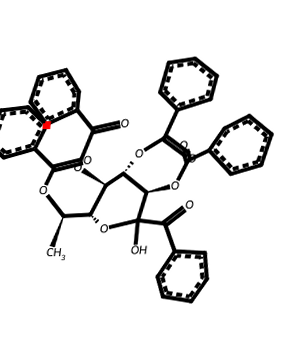 C[C@@H](OC(=O)c1ccccc1)[C@H]1OC(O)(C(=O)c2ccccc2)[C@H](OC(=O)c2ccccc2)[C@@H](OC(=O)c2ccccc2)[C@@H]1OC(=O)c1ccccc1